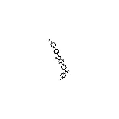 CC(C)N1CCN(c2ccc(C3=CN4N=C(N5CCC(C(=O)N6CCN(C)CC6)CC5)SC4N3)cc2)CC1